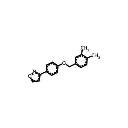 Cc1ccc(COc2ccc(-c3ccon3)cc2)cc1C